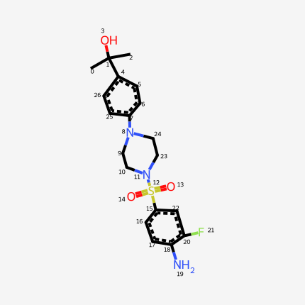 CC(C)(O)c1ccc(N2CCN(S(=O)(=O)c3ccc(N)c(F)c3)CC2)cc1